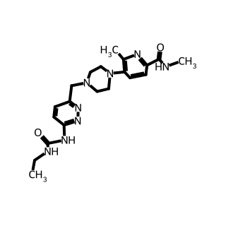 CCNC(=O)Nc1ccc(CN2CCN(c3ccc(C(=O)NC)nc3C)CC2)nn1